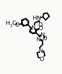 COc1cccc(-c2ccc(-c3noc(CCN4CCOCC4)n3)c(=O)n2CC(=O)NC2CCCC2)c1